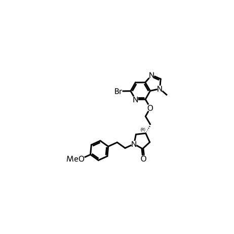 COc1ccc(CCN2C[C@H](CCOc3nc(Br)cc4ncn(C)c34)CC2=O)cc1